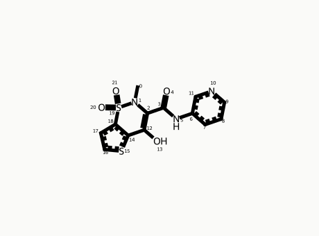 CN1C(C(=O)Nc2cccnc2)=C(O)c2sccc2S1(=O)=O